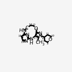 Cc1c2c(nn1C1CCOCC1)OCCCNc1ccnc(n1)N2